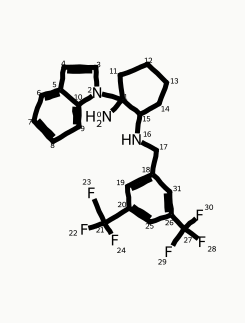 NC1(n2ccc3ccccc32)CCCCC1NCc1cc(C(F)(F)F)cc(C(F)(F)F)c1